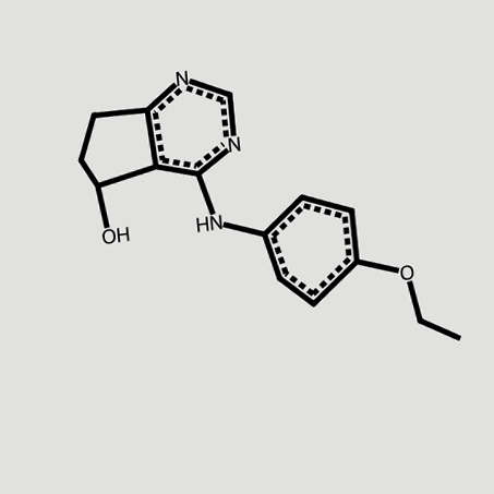 CCOc1ccc(Nc2ncnc3c2C(O)CC3)cc1